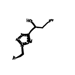 CC(C)CC(O)c1nnn(CC(C)C)n1